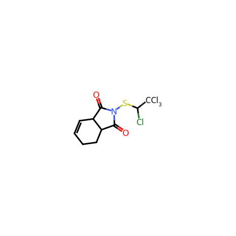 O=C1C2C=CCCC2C(=O)N1SC(Cl)C(Cl)(Cl)Cl